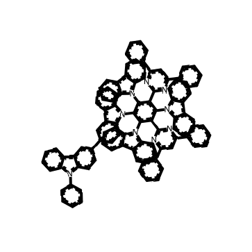 c1ccc(-c2cc(-c3ccccc3)nc(-c3c(-n4c5ccccc5c5ccccc54)c(-c4nc(-c5ccccc5)cc(-c5ccccc5)n4)c(-n4c5ccccc5c5ccccc54)c(-n4c5ccccc5c5cc(-c6ccc7c(c6)c6ccccc6n7-c6ccccc6)ccc54)c3-n3c4ccccc4c4ccccc43)n2)cc1